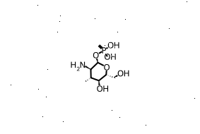 C=P(O)(O)O[C@H]1O[C@H](CO)[C@@H](O)[C@H](C)[C@H]1N